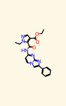 CCOC(=O)c1cnn(CC)c1C(=O)Nc1ccn2cc(-c3ccccc3)nc2n1